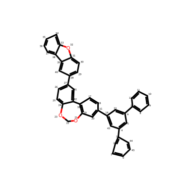 c1ccc(-c2cc(-c3ccccc3)cc(-c3ccc4c(c3)OCOc3ccc(-c5ccc6oc7ccccc7c6c5)cc3-4)c2)cc1